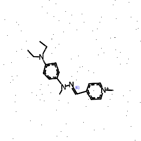 CCN(CC)c1ccc(N(C)/N=C/c2cc[n+](C)cc2)cc1